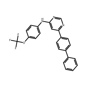 FC(F)(F)Oc1ccc(Nc2cc(-c3ccc(-c4ccccc4)cc3)ncn2)cc1